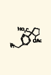 CC(=O)OC1CCCC1(C(=O)O)c1ccc(CC(C)C)cc1